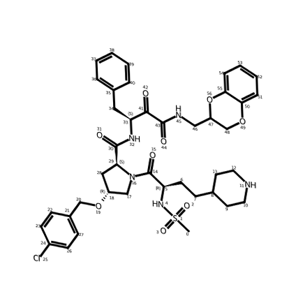 CS(=O)(=O)N[C@H](CCC1CCNCC1)C(=O)N1C[C@H](OCc2ccc(Cl)cc2)C[C@H]1C(=O)N[C@@H](Cc1ccccc1)C(=O)C(=O)NCC1COc2ccccc2O1